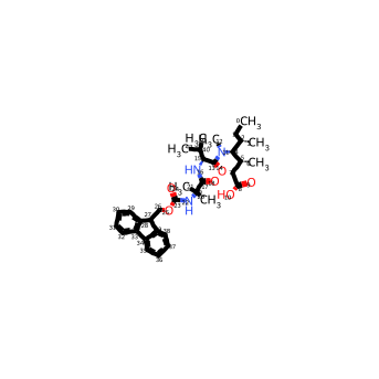 CC[C@H](C)[C@@H]([C@H](C)CC(=O)O)N(C)C(=O)[C@@H](NC(=O)C(C)(C)NC(=O)OCC1c2ccccc2-c2ccccc21)C(C)C